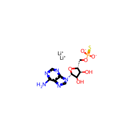 Nc1ncnc2c1ncn2[C@@H]1O[C@H](COP([O-])([O-])=S)[C@@H](O)[C@H]1O.[Li+].[Li+]